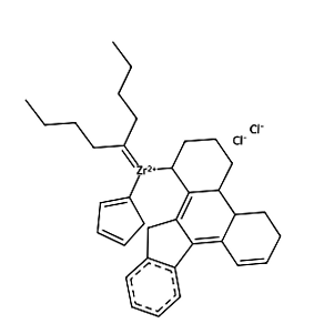 CCCC[C](CCCC)=[Zr+2]([C]1=CC=CC1)[CH]1CCCC2C1=C1Cc3ccccc3C1=C1C=CCCC12.[Cl-].[Cl-]